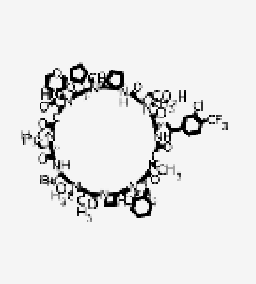 CC[C@H](C)[C@@H]1NC(=O)[C@@H](CC(C)C)N(C)C(=O)C[C@@H](C(=O)N2CCOCC2)N(C)C(=O)[C@H](C2CCCC2)N(C)C(=O)C2(CCCC2)NC(=O)[C@H](CC(=O)O)N(C)C(=O)[C@H](CCc2ccc(C(F)(F)F)c(Cl)c2)NC(=O)CN(C)C(=O)[C@H](CC2CCCCC2)N(C)C(=O)[C@@H]2CCN2C(=O)[C@H](C)N(C)C1=O